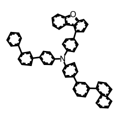 c1ccc(-c2cccc(-c3ccc(N(c4ccc(-c5cccc(-c6cccc7ccccc67)c5)cc4)c4ccc(-c5cccc6oc7ccccc7c56)cc4)cc3)c2)cc1